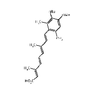 CCCCc1c(OC)cc(C)c(/C=C/C(C)=C/C=C/C(C)=C/C(=O)O)c1C